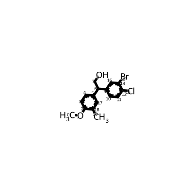 COc1ccc(C(CO)c2ccc(Cl)c(Br)c2)cc1C